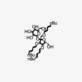 CCCCC=CC=COC[C@@]1(O[C@H]2O[C@H](CO)[C@@H](O)[C@H](O)[C@H]2O)O[C@H](CO)[C@@H](OC=CC=CCCCC)[C@@H]1OC=CC=CCCCC